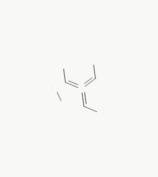 C[CH]=[Ti](=[CH]C)=[CH]C.O=S(=O)(O)O